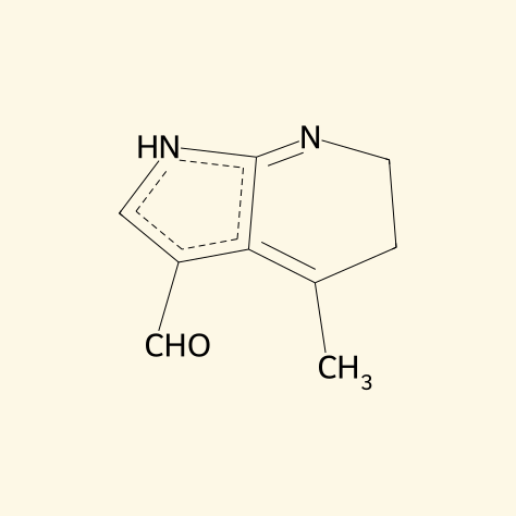 CC1=c2c(C=O)c[nH]c2=NCC1